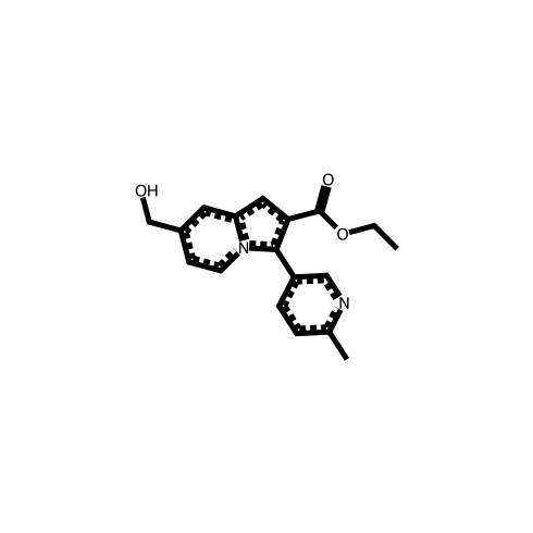 CCOC(=O)c1cc2cc(CO)ccn2c1-c1ccc(C)nc1